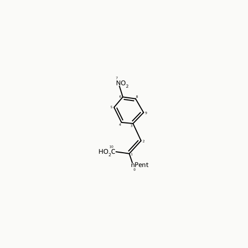 CCCCCC(=Cc1ccc([N+](=O)[O-])cc1)C(=O)O